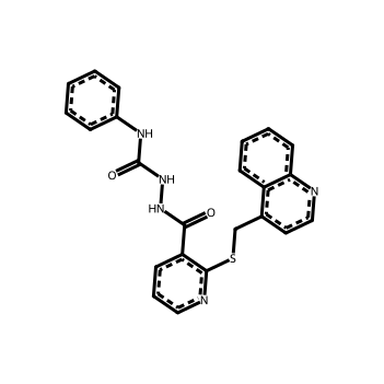 O=C(NNC(=O)c1cccnc1SCc1ccnc2ccccc12)Nc1ccccc1